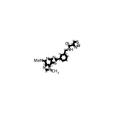 CNc1nc2nc(-c3cccc(CNC(=O)c4csnn4)c3)sc2c2c1ncn2C